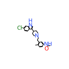 CC(=O)Nc1ccc(C)c(CCN2CCC(c3c[nH]c4cc(Cl)ccc34)CC2)c1